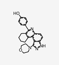 Oc1ccc(-c2nc3ccc4[nH]nc(N5CCOCC5)c4c3c3c2CCCC3)cc1